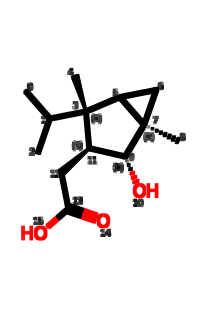 CC(C)[C@]1(C)C2C[C@@]2(C)[C@H](O)[C@H]1CC(=O)O